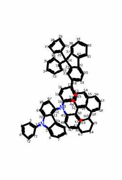 c1ccc(-n2c3ccccc3c3c(N(c4ccc(-c5ccc6c(c5)C(c5ccccc5)(c5ccccc5)c5ccccc5-6)cc4)c4ccccc4-c4cccc5cccc(C6CCCCC6)c45)cccc32)cc1